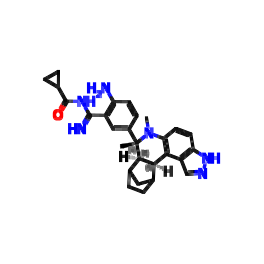 CN1c2ccc3[nH]ncc3c2[C@H]2C3CCC(C3)[C@H]2[C@]1(C)c1ccc(N)c(C(=N)NC(=O)C2CC2)c1